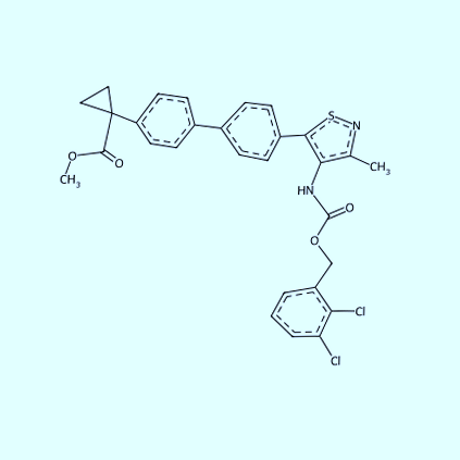 COC(=O)C1(c2ccc(-c3ccc(-c4snc(C)c4NC(=O)OCc4cccc(Cl)c4Cl)cc3)cc2)CC1